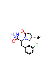 CCCC1CC(=O)N(C(Cc2cccc(F)c2)C(N)=O)C1